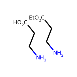 CCOC(=O)CCN.NCCC(=O)O